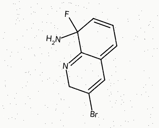 NC1(F)C=CC=C2C=C(Br)CN=C21